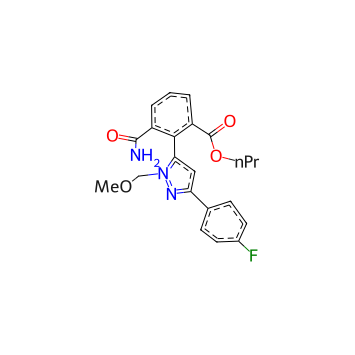 CCCOC(=O)c1cccc(C(N)=O)c1-c1cc(-c2ccc(F)cc2)nn1COC